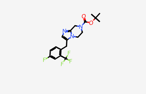 CC(C)(C)OC(=O)N1CCn2c(Cc3ccc(F)cc3C(F)(F)F)cnc2C1